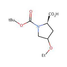 CCOC1C[C@H](C(=O)O)N(C(=O)OC(C)(C)C)C1